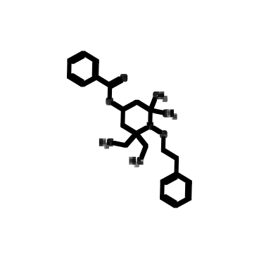 CCC1(CC)CC(OC(=O)c2ccccc2)CC(C)(C)N1OCCc1ccccc1